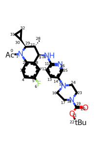 CC(=O)N1c2ccc(F)cc2[C@H](Nc2ccc(N3CCN(C(=O)OC(C)(C)C)CC3)cn2)[C@@H](C)[C@@H]1C1CC1